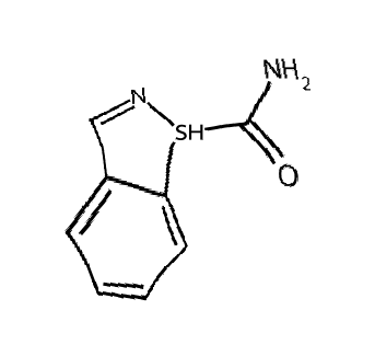 NC(=O)[SH]1N=Cc2ccccc21